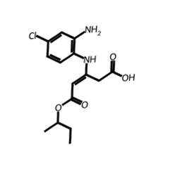 CCC(C)OC(=O)C=C(CC(=O)O)Nc1ccc(Cl)cc1N